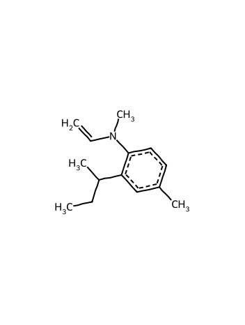 C=CN(C)c1ccc(C)cc1C(C)CC